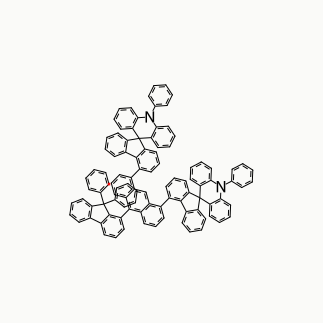 c1ccc(N2c3ccccc3C3(c4ccccc4-c4c(-c5cccc6c(-c7cccc8c7C(c7ccccc7)(c7ccccc7)c7ccccc7-8)c7cccc(-c8cccc9c8-c8ccccc8C98c9ccccc9N(c9ccccc9)c9ccccc98)c7cc56)cccc43)c3ccccc32)cc1